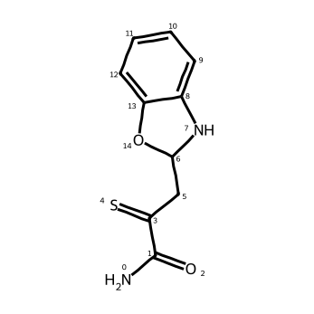 NC(=O)C(=S)CC1Nc2ccccc2O1